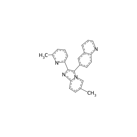 Cc1ccc2nc(-c3cccc(C)n3)c(-c3ccc4ncccc4c3)n2c1